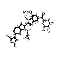 COc1cc(C(=O)N2C[C@H](N)C[C@@H](F)C2)cc2nc(-c3cc4ccc(-c5cn(C)nc5C)nc4n3CC3CC3)n(C)c12